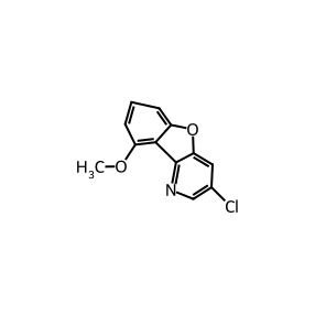 COc1cccc2oc3cc(Cl)cnc3c12